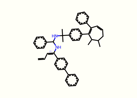 C=C/C=C(/NC(NC(C)(C)c1ccc(C2=C(c3ccccc3)C=CCC(C)C2C)cc1)c1ccccc1)c1ccc(-c2ccccc2)cc1